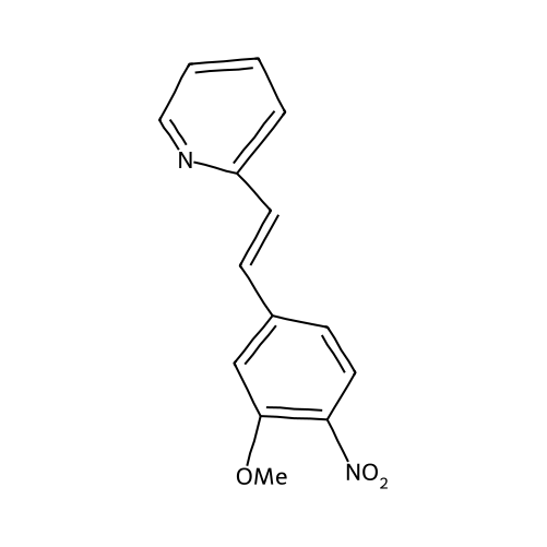 COc1cc(C=Cc2ccccn2)ccc1[N+](=O)[O-]